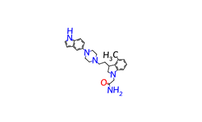 Cc1cccc2c1C(CCN1CCN(c3ccc4[nH]ccc4c3)CC1)CN2CC(N)=O